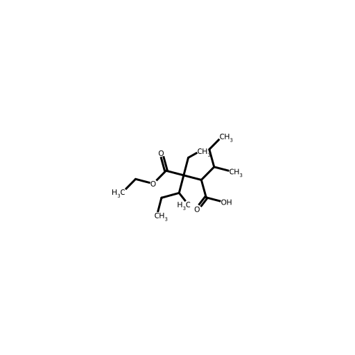 CCOC(=O)C(CC)(C(C)CC)C(C(=O)O)C(C)CC